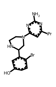 CC(C)c1cc(N2CCNC(c3cc(O)ccc3Br)C2)nc(N)n1